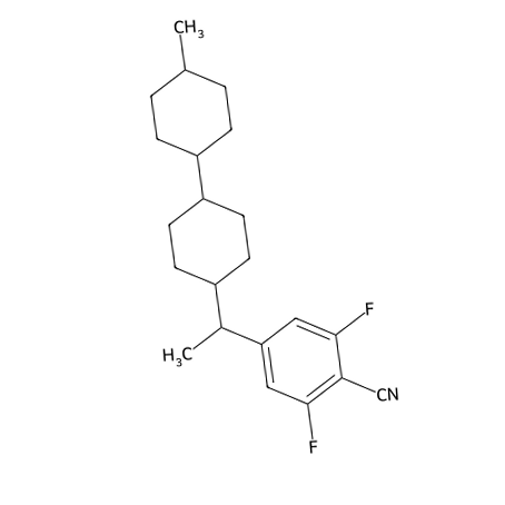 CC1CCC(C2CCC(C(C)c3cc(F)c(C#N)c(F)c3)CC2)CC1